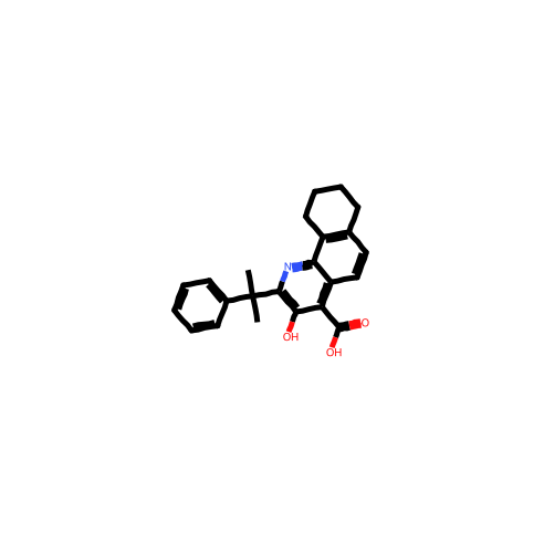 CC(C)(c1ccccc1)c1nc2c3c(ccc2c(C(=O)O)c1O)CCCC3